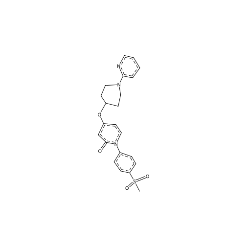 CS(=O)(=O)c1ccc(-n2ccc(OC3CCN(c4ccccn4)CC3)cc2=O)cc1